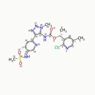 Cc1cnc(Cl)c([C@@H](C)OC(=O)Nc2c(-c3ccc(NS(C)(=O)=O)cn3)nnn2C)c1